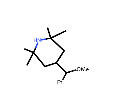 CCC(OC)C1CC(C)(C)NC(C)(C)C1